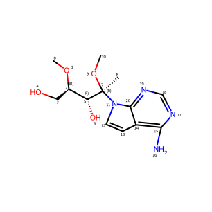 CO[C@H](CO)[C@@H](O)[C@@](C)(OC)n1ccc2c(N)ncnc21